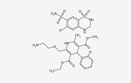 CCOC(=O)C1=C(COCCN)NC(C)=C(C(=O)OC)C1c1ccccc1Cl.NS(=O)(=O)c1cc2c(cc1Cl)NCNS2(=O)=O